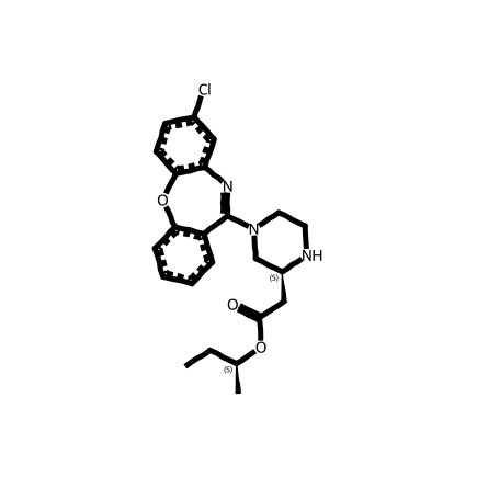 CC[C@H](C)OC(=O)C[C@H]1CN(C2=Nc3cc(Cl)ccc3Oc3ccccc32)CCN1